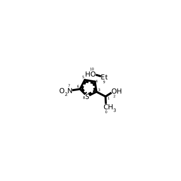 CC(O)c1ccc([N+](=O)[O-])s1.CCO